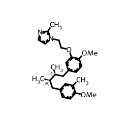 COc1ccc(C[C@@H](C)[C@@H](C)Cc2ccc(OC)c(OCCn3ccnc3C)c2)cc1C